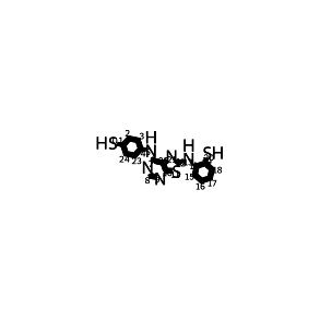 Sc1ccc(Nc2ncnc3sc(Nc4ccccc4S)nc23)cc1